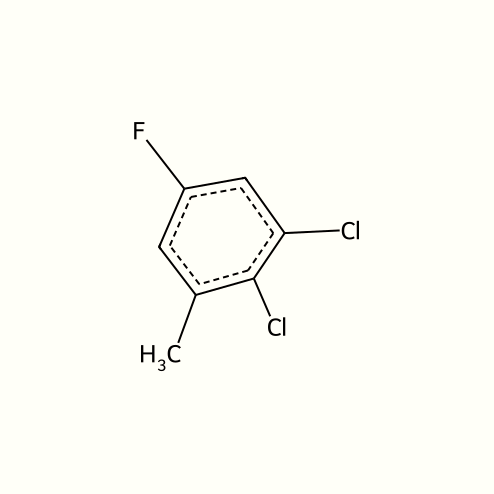 Cc1cc(F)cc(Cl)c1Cl